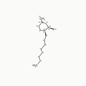 CCCCCCCC[C@H]1CCN(C)C[C@H]1F